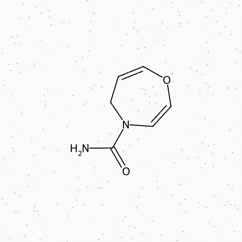 NC(=O)N1C=COC=CC1